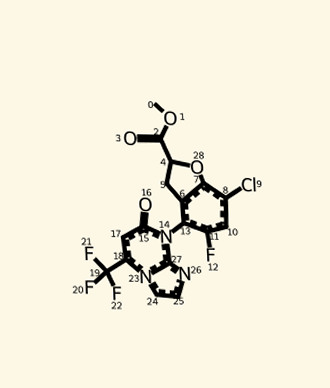 COC(=O)C1Cc2c(c(Cl)cc(F)c2-n2c(=O)cc(C(F)(F)F)n3ccnc23)O1